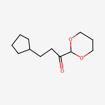 O=C(CCC1CCCC1)C1OCCCO1